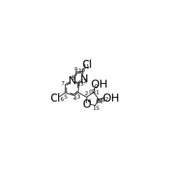 O[C@@H]1C(c2cc(Cl)cn3cc(Cl)nc23)OC[C@@H]1O